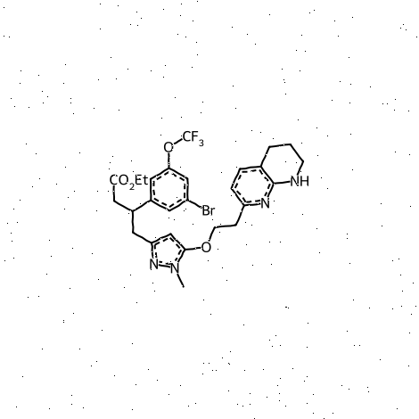 CCOC(=O)CC(Cc1cc(OCCc2ccc3c(n2)NCCC3)n(C)n1)c1cc(Br)cc(OC(F)(F)F)c1